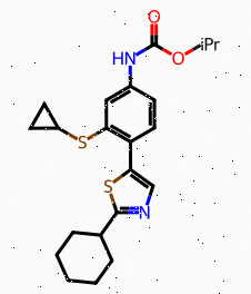 CC(C)OC(=O)Nc1ccc(-c2cnc(C3CCCCC3)s2)c(SC2CC2)c1